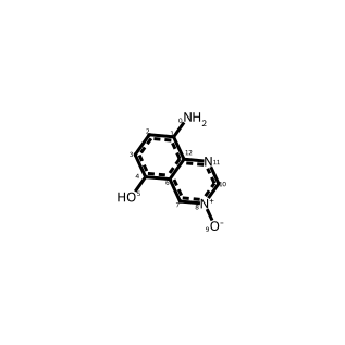 Nc1ccc(O)c2c[n+]([O-])cnc12